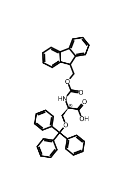 O=C(N[C@H](COC(c1ccccc1)(c1ccccc1)c1ccccc1)C(=O)O)OCC1c2ccccc2-c2ccccc21